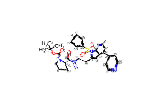 CC(C)(C)OC(=O)N1CCC[C@H]1C(=O)NCCc1cc2c(-c3ccncc3)ccnc2n1S(=O)(=O)c1ccccc1